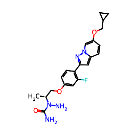 C[C@@H](COc1ccc(-c2cc3ccc(OCC4CC4)cn3n2)c(F)c1)N(N)C(N)=O